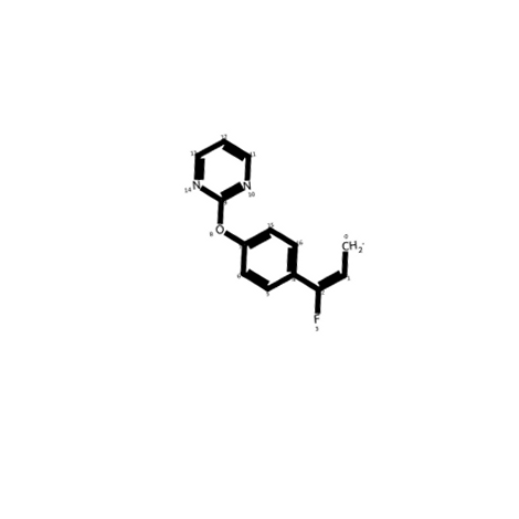 [CH2]/C=C(/F)c1ccc(Oc2ncccn2)cc1